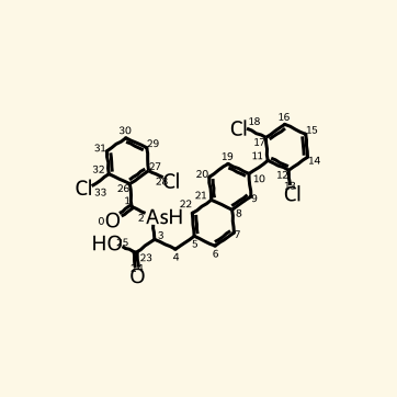 O=C([AsH]C(Cc1ccc2cc(-c3c(Cl)cccc3Cl)ccc2c1)C(=O)O)c1c(Cl)cccc1Cl